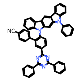 N#Cc1ccc(-c2cc(-c3nc(-c4ccccc4)nc(-c4ccccc4)n3)ccc2-n2c3ccccc3c3cc4c5ccccc5n(-c5ccccc5)c4cc32)cc1